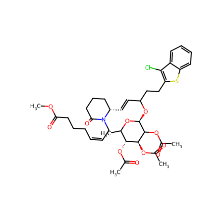 COC(=O)CCC/C=C\CN1C(=O)CCC[C@@H]1/C=C/C(CCc1sc2ccccc2c1Cl)O[C@@H]1OC(C)[C@@H](OC(C)=O)[C@H](OC(C)=O)C1OC(C)=O